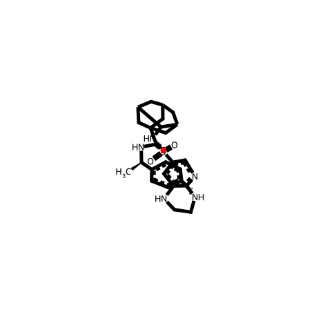 C[C@@H](NC(=O)C12CC3CC(C1)C(NS(=O)(=O)c1cnc4c(c1)NCCN4)C(C3)C2)c1ccc(F)cc1